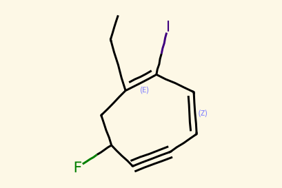 CC/C1=C(I)/C=C\C#CC(F)C1